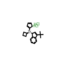 CC(C)(C)C1=C[CH]([Zr]([C]2=CC=CC2)=[C]2CCC2)c2ccccc21.Cl.Cl